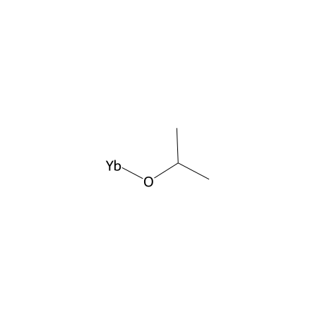 CC(C)[O][Yb]